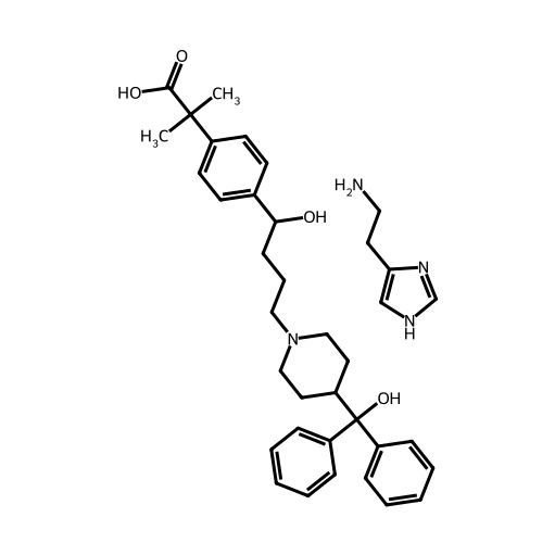 CC(C)(C(=O)O)c1ccc(C(O)CCCN2CCC(C(O)(c3ccccc3)c3ccccc3)CC2)cc1.NCCc1c[nH]cn1